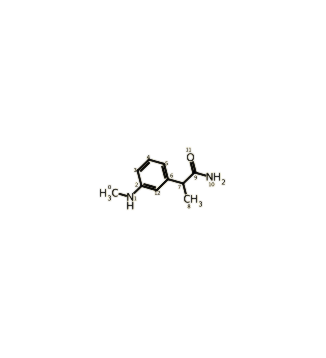 CNc1cccc(C(C)C(N)=O)c1